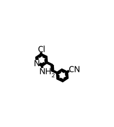 N#Cc1cccc(C=Cc2cc(Cl)cnc2N)c1